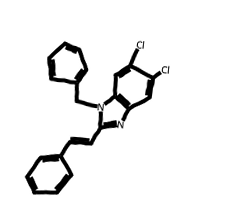 Clc1cc2nc(C=Cc3ccccc3)n(Cc3ccccc3)c2cc1Cl